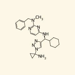 CN(Cc1ccccc1)c1nccc(N[C@H](c2cn(C3(N)CC3)nn2)C2CCCCC2)n1